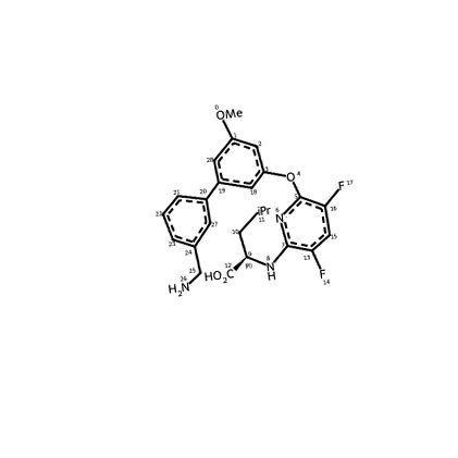 COc1cc(Oc2nc(N[C@H](CC(C)C)C(=O)O)c(F)cc2F)cc(-c2cccc(CN)c2)c1